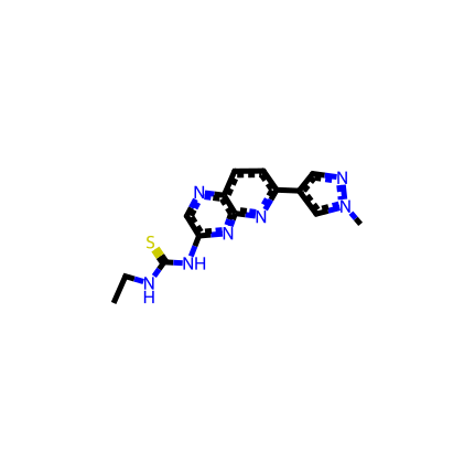 CCNC(=S)Nc1cnc2ccc(-c3cnn(C)c3)nc2n1